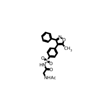 CC(=O)NCC(=O)NS(=O)(=O)c1ccc(-c2c(-c3ccccc3)noc2C)cc1